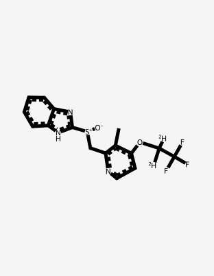 [2H]C([2H])(Oc1ccnc(C[S+]([O-])c2nc3ccccc3[nH]2)c1C)C(F)(F)F